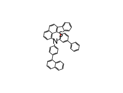 c1ccc(-c2cccc(N(c3ccc(-c4cccc5ccccc45)cc3)c3cccc4ccc5c6ccccc6sc5c34)c2)cc1